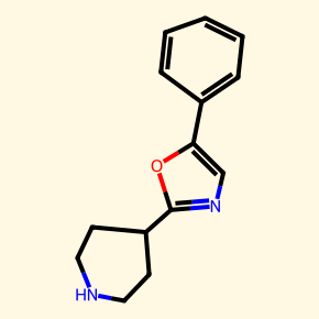 c1ccc(-c2cnc(C3CCNCC3)o2)cc1